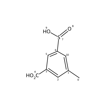 Cc1cc(C(=O)O)cc(S(=O)O)c1